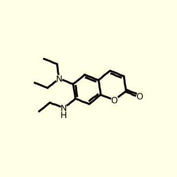 CCNc1cc2oc(=O)ccc2cc1N(CC)CC